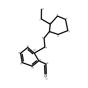 CCC1CCCCC1CCc1ccccc1C=O